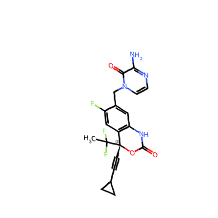 CC(F)(F)[C@@]1(C#CC2CC2)OC(=O)Nc2cc(Cn3ccnc(N)c3=O)c(F)cc21